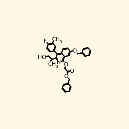 Cc1cc(-c2c(C(C)CO)nc(OCC(=O)OCc3ccccc3)c3cc(OCc4ccccc4)ccc23)ccc1F